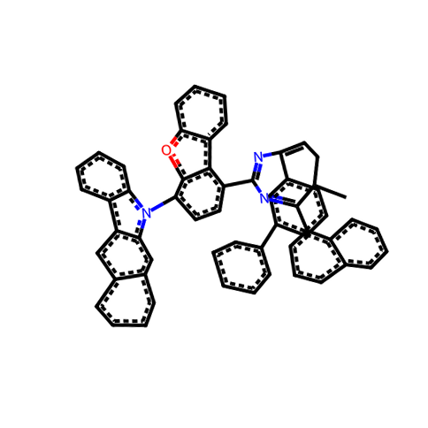 CC1C/C=C(c2cccc(-c3ccccc3)c2)/N=C(c2ccc(-n3c4ccccc4c4cc5ccccc5cc43)c3oc4ccccc4c23)\N=C/1c1cccc2ccccc12